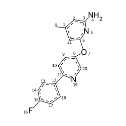 Cc1cc(N)nc(Oc2ccc(-c3ccc(F)cc3)nc2)c1